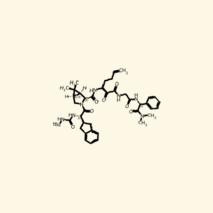 C=CCCC(NC(=O)[C@@H]1[C@H]2[C@@H](CN1C(=O)[C@@H](NC(=O)NC(C)(C)C)C1Cc3ccccc3C1)C2(C)C)C(=O)C(=O)NCC(=O)N[C@H](C(=O)N(C)C)c1ccccc1